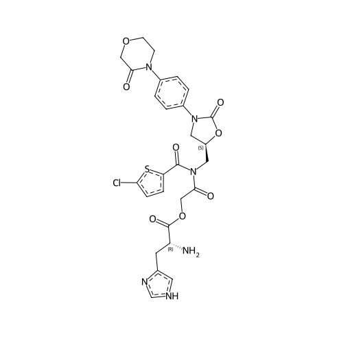 N[C@H](Cc1c[nH]cn1)C(=O)OCC(=O)N(C[C@H]1CN(c2ccc(N3CCOCC3=O)cc2)C(=O)O1)C(=O)c1ccc(Cl)s1